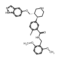 COc1cccc(OC)c1CNC(=O)c1cc([C@@H]2CCNC[C@H]2COc2ccc3[nH]ncc3c2)ccc1F